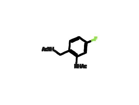 CC(=O)NCc1ccc(F)cc1NC(C)=O